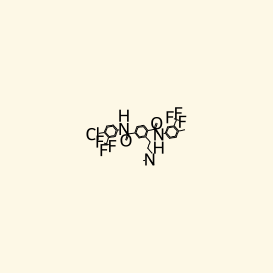 Cc1ccc(NC(=O)c2ccc(C(=O)Nc3ccc(Cl)c(C(F)(F)F)c3)cc2CCCN(C)C)cc1C(F)(F)F